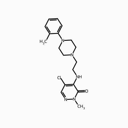 Cc1ccccc1N1CCN(CCNc2c(Cl)cnn(C)c2=O)CC1